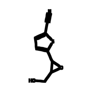 N#Cc1ccc(C2OC2CO)s1